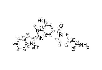 CCn1c(-c2nc3cc(C(=O)N4CCC[C@@H](OC(N)=O)C4)cc(O)c3n2C)cc2ccccc21